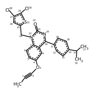 CC#COc1ccc2c(c1)c(-c1ccc(C(C)C)cc1)nc(=O)n2Cc1cc(Cl)c(Cl)s1